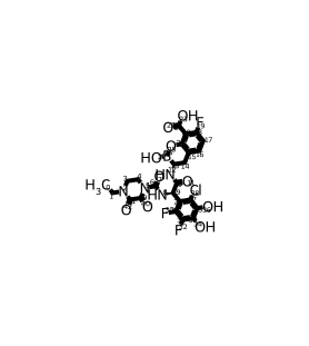 CCN1CCN(C(=O)N[C@@H](C(=O)N[C@H]2Cc3ccc(F)c(C(=O)O)c3OB2O)c2c(F)c(F)c(O)c(O)c2Cl)C(=O)C1=O